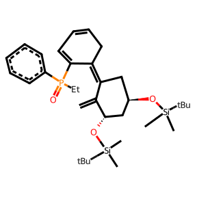 C=C1/C(=C2/CC=CC=C2P(=O)(CC)c2ccccc2)C[C@@H](O[Si](C)(C)C(C)(C)C)C[C@@H]1O[Si](C)(C)C(C)(C)C